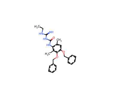 CCNC(=N)NC(=O)Nc1c(C)cc(OCc2ccccc2)c(OCc2ccccc2)c1C